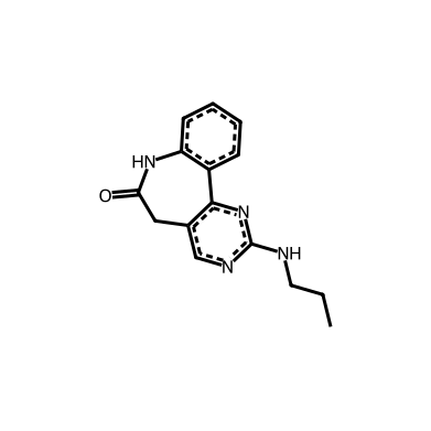 CCCNc1ncc2c(n1)-c1ccccc1NC(=O)C2